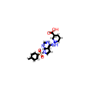 Cc1ccc(S(=O)(=O)n2ccc3c(NN4CCCC(C(=O)O)C4)ncnc32)cc1